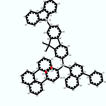 CC1(C)c2cc(N(c3ccc(-c4cccc5cccc(-c6ccccc6)c45)cc3)c3ccc(-c4ccccc4)c4ccccc34)ccc2-c2ccc(-n3c4ccccc4c4ccccc43)cc21